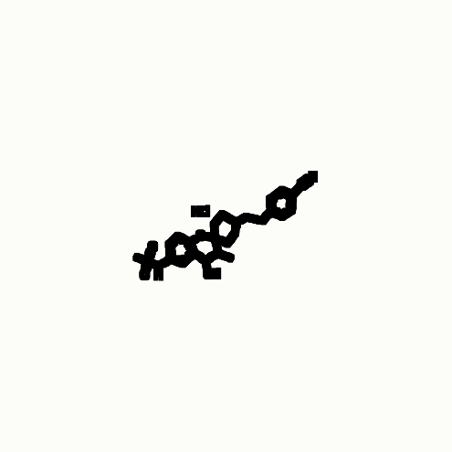 CC1C(O)c2cc(NS(C)(=O)=O)ccc2OC12CCN(CCc1ccc(C#N)cc1)CC2.Cl